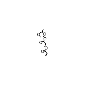 C=CC(=O)OCCC(=O)OC1COCC(C)O1